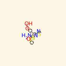 Nc1c([S+]([O-])c2ccccc2)sc2nc(-c3nccs3)cc(-c3ccc(OCCO)cc3)c12